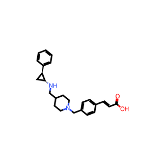 O=C(O)C=Cc1ccc(CN2CCC(CN[C@@H]3C[C@H]3c3ccccc3)CC2)cc1